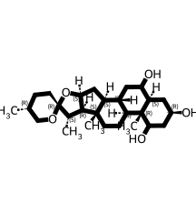 C[C@@H]1CC[C@@]2(OC1)O[C@H]1C[C@H]3[C@@H]4CC(O)[C@H]5C[C@@H](O)CC(O)[C@]5(C)[C@H]4CC[C@]3(C)[C@H]1[C@@H]2C